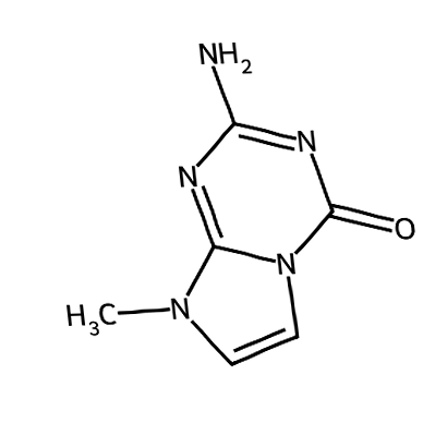 Cn1ccn2c(=O)nc(N)nc12